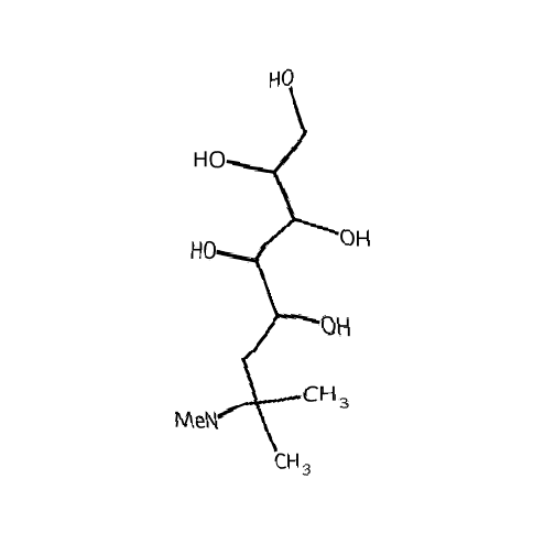 CNC(C)(C)CC(O)C(O)C(O)C(O)CO